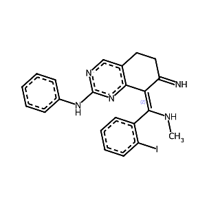 CN/C(=C1\C(=N)CCc2cnc(Nc3ccccc3)nc21)c1ccccc1I